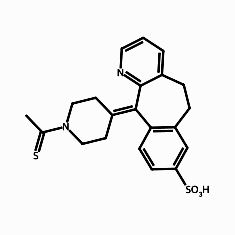 CC(=S)N1CCC(=C2c3ccc(S(=O)(=O)O)cc3CCc3cccnc32)CC1